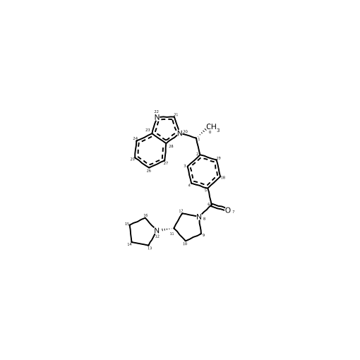 C[C@H](c1ccc(C(=O)N2CC[C@H](N3CCCC3)C2)cc1)n1cnc2ccccc21